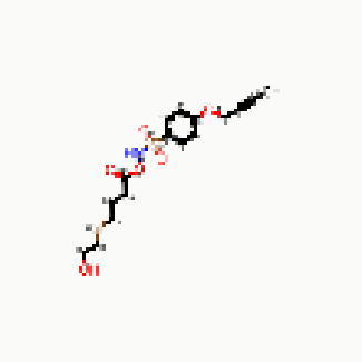 CC#CCOc1ccc(S(=O)(=O)NOC(=O)CCCSCCO)cc1